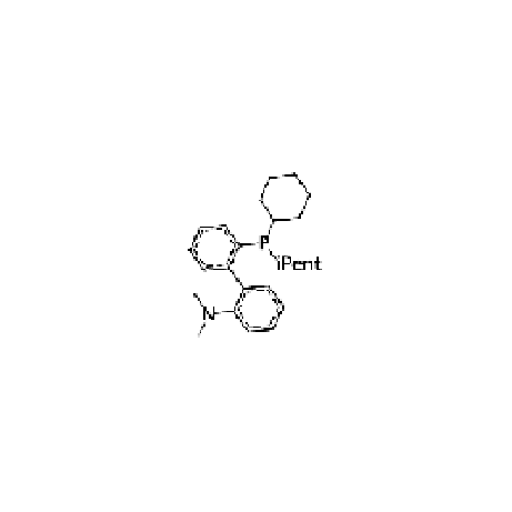 CCCC(C)P(c1ccccc1-c1ccccc1N(C)C)C1CCCCC1